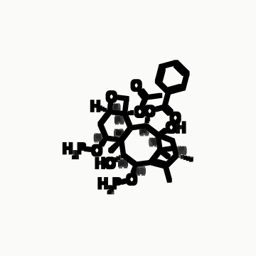 CC(=O)O[C@@]12CO[C@@H]1C[C@H](OP)[C@]1(C)C2[C@H](OC(=O)c2ccccc2)[C@]2(O)C[C@H](C)C(C)=C([C@@H](OP)[C@@H]1O)C2(C)C